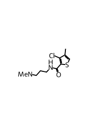 CNCCCNC(=O)c1scc(C)c1Cl